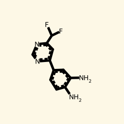 Nc1ccc(-c2cc(C(F)F)ncn2)cc1N